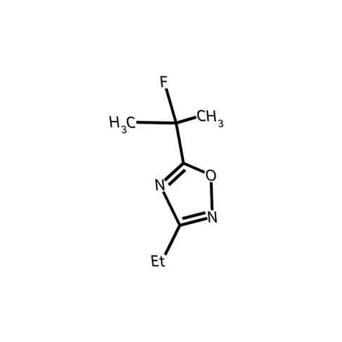 CCc1noc(C(C)(C)F)n1